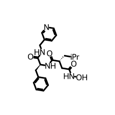 CC(C)C[C@H](CC(=O)NO)C(=O)N[C@@H](Cc1ccccc1)C(=O)NCc1cccnc1